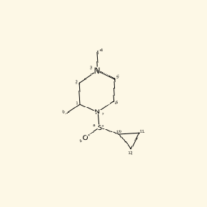 CC1CN(C)CCN1[S+]([O-])C1CC1